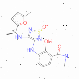 Cc1ccc([C@H](C)Nc2n[s+]([O-])nc2Nc2cccc(C(=O)N(C)C)c2O)o1